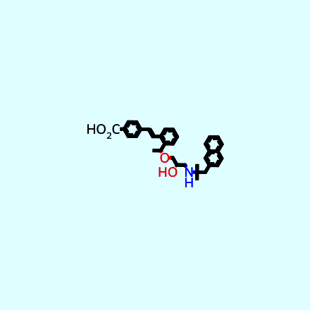 CC(OC[C@H](O)CNC(C)(C)Cc1ccc2ccccc2c1)c1ccccc1/C=C/c1ccc(C(=O)O)cc1